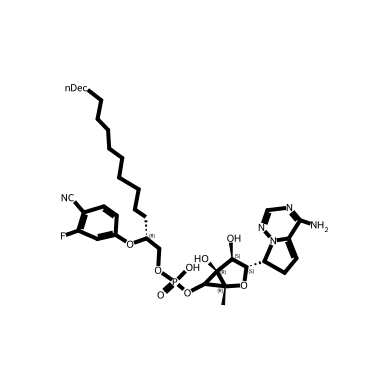 CCCCCCCCCCCCCCCCCCC[C@H](COP(=O)(O)OC1[C@@]2(C)O[C@@H](C3CC=C4C(N)=NC=NN43)[C@H](O)[C@@]12O)Oc1ccc(C#N)c(F)c1